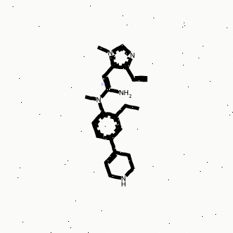 C=Cc1ncn(C)c1/C=C(\N)N(C)c1ccc(C2=CCNCC2)cc1CC